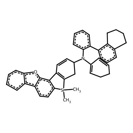 C[Si]1(C)C2=C(C=CC(N(C3=CCCC=C3)c3ccccc3-c3cccc4c3CCCC4)C2)c2c1ccc1c2oc2ccccc21